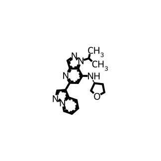 CC(C)n1ncc2nc(-c3cnn4ccccc34)cc(N[C@@H]3CCOC3)c21